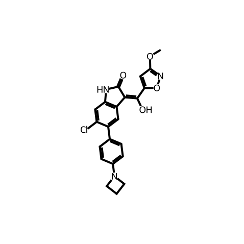 COc1cc(/C(O)=C2\C(=O)Nc3cc(Cl)c(-c4ccc(N5CCC5)cc4)cc32)on1